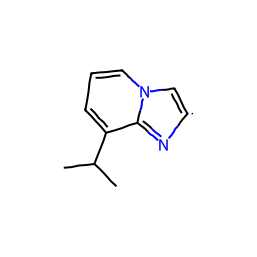 CC(C)c1cccn2c[c]nc12